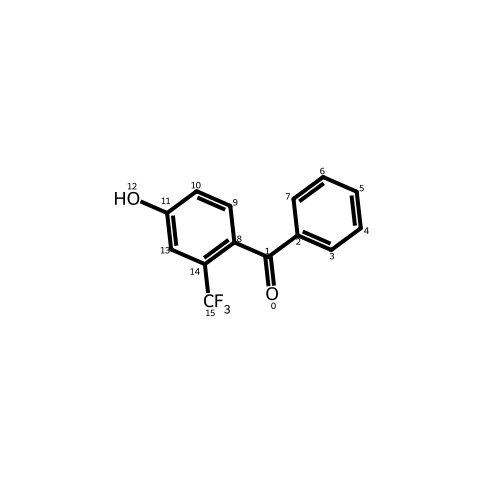 O=C(c1ccccc1)c1ccc(O)cc1C(F)(F)F